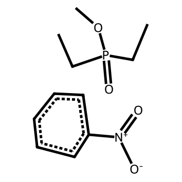 CCP(=O)(CC)OC.O=[N+]([O-])c1ccccc1